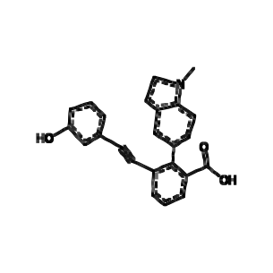 Cn1ccc2cc(-c3c(C#Cc4cccc(O)c4)cccc3C(=O)O)ccc21